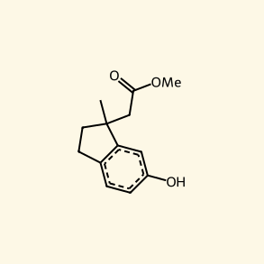 COC(=O)CC1(C)CCc2ccc(O)cc21